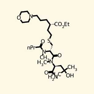 CCCC(=O)N(C)[C@H](CSCC[C@H](CCCN1CCOCC1)C(=O)OCC)C(=O)N(C)[C@@H](CC(C)(C)O)C(N)=O